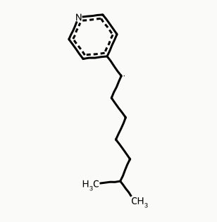 CC(C)CCCC[CH]c1ccncc1